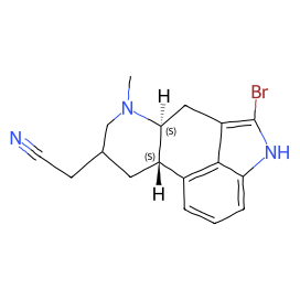 CN1CC(CC#N)C[C@H]2c3cccc4[nH]c(Br)c(c34)C[C@@H]21